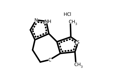 Cc1sc(C)c2c1CCCc1cn[nH]c1-2.Cl